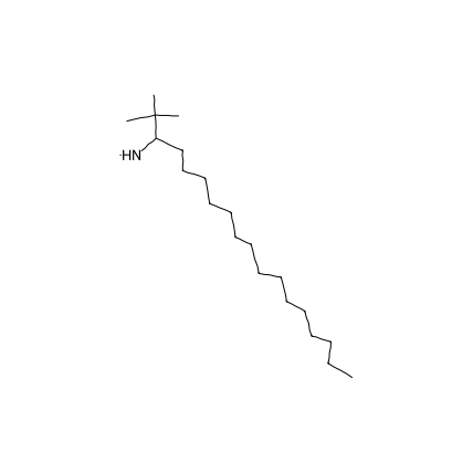 CCCCCCCCCCCCCCCC([NH])C(C)(C)C